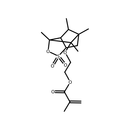 C=C(C)C(=O)OCCOC1(C)C2(C)CC3C(C2C)C1(C)OS3(=O)=O